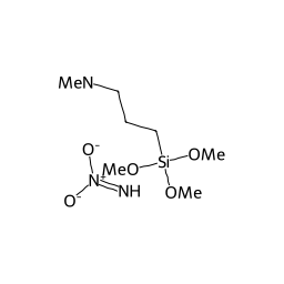 CNCCC[Si](OC)(OC)OC.N=[N+]([O-])[O-]